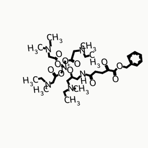 CCN(C)CC(=O)O[N+](OC(=O)CN(C)CC)(OC(=O)CN(C)CC)OC(CNC(=O)CCC(=O)C(=O)OCc1ccccc1)CN(C)CC